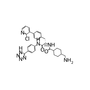 NCC1CCC(C(=O)N[C@@H](Cc2ccc(-c3cccnc3Cl)cc2)C(=O)Nc2ccc(-c3nnn[nH]3)cc2)CC1